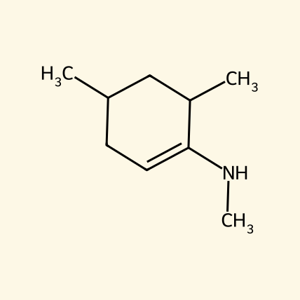 CNC1=CCC(C)CC1C